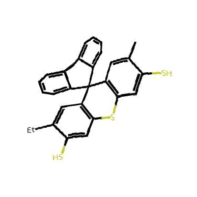 CCc1cc2c(cc1S)Sc1cc(S)c(C)cc1C21c2ccccc2-c2ccccc21